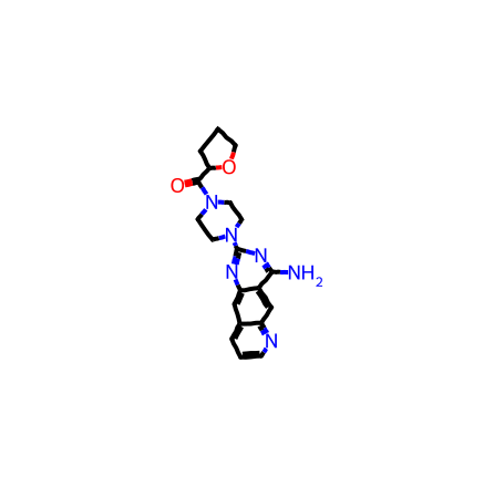 Nc1nc(N2CCN(C(=O)C3CCCO3)CC2)nc2cc3cccnc3cc12